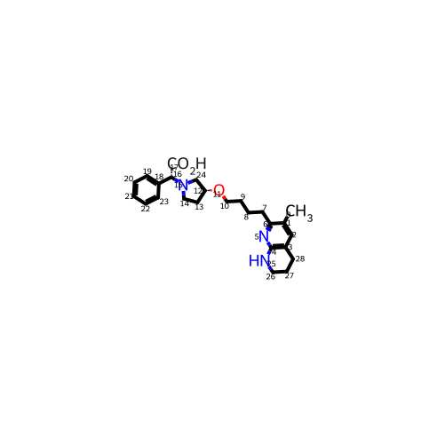 Cc1cc2c(nc1CCCCO[C@@H]1CCN([C@@H](C(=O)O)c3ccccc3)C1)NCCC2